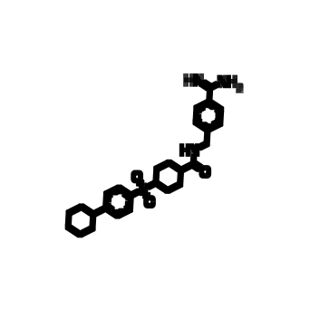 N=C(N)c1ccc(CNC(=O)C2CCC(S(=O)(=O)c3ccc(C4CCCCC4)cc3)CC2)cc1